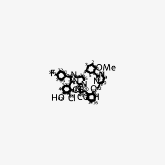 COc1ccccc1-c1nccc(COc2ccccc2CC(Oc2nccc3nc(-c4ccc(F)cc4)c(-c4ccc(O)c(Cl)c4C)n23)C(=O)O)n1